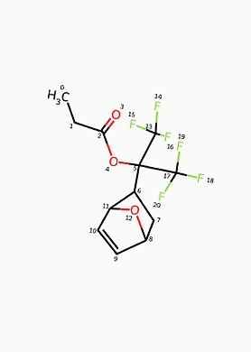 CCC(=O)OC(C1CC2C=CC1O2)(C(F)(F)F)C(F)(F)F